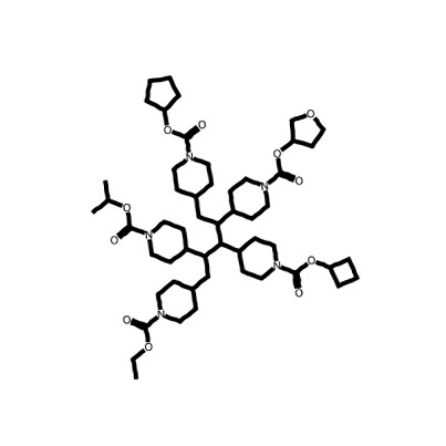 CCOC(=O)N1CCC(CC(C2CCN(C(=O)OC(C)C)CC2)C([C](CC2CCN(C(=O)OC3CCCC3)CC2)C2CCN(C(=O)OC3CCOC3)CC2)C2CCN(C(=O)OC3CCC3)CC2)CC1